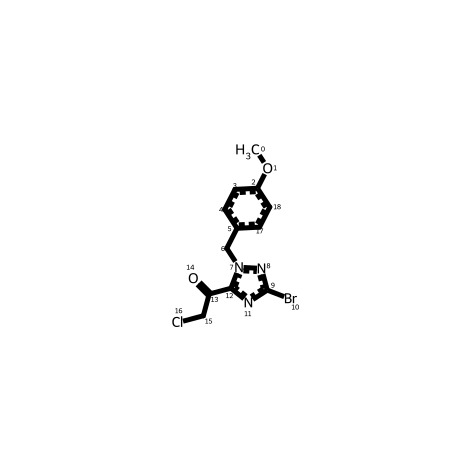 COc1ccc(Cn2nc(Br)nc2C(=O)CCl)cc1